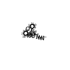 [N-]=[N+]=NCC(O)CN1c2ccccc2Oc2ccccc2S1(=O)=O